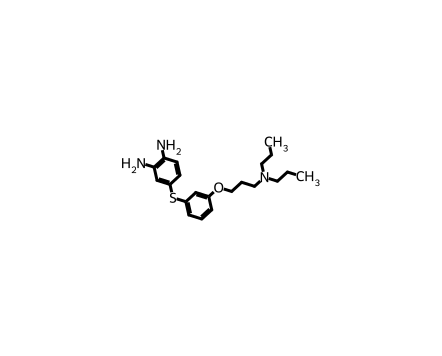 CCCN(CCC)CCCOc1cccc(Sc2ccc(N)c(N)c2)c1